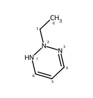 CCN1N=CC=CN1